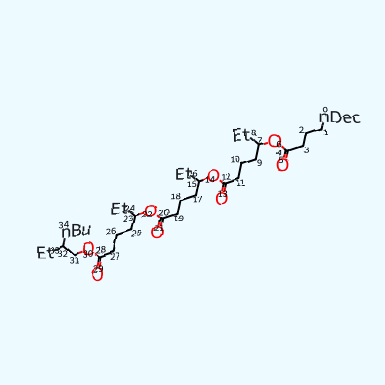 CCCCCCCCCCCCCC(=O)OC(CC)CCCC(=O)OC(CC)CCCC(=O)OC(CC)CCCC(=O)OCC(CC)CCCC